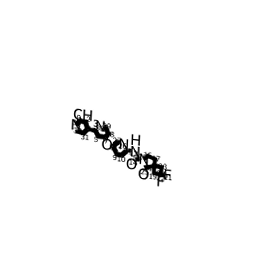 Cc1cc(-c2cc(Oc3ccc(NC(=O)N4CCC5(CC(F)(F)C5)C4=O)nc3)ccn2)ccn1